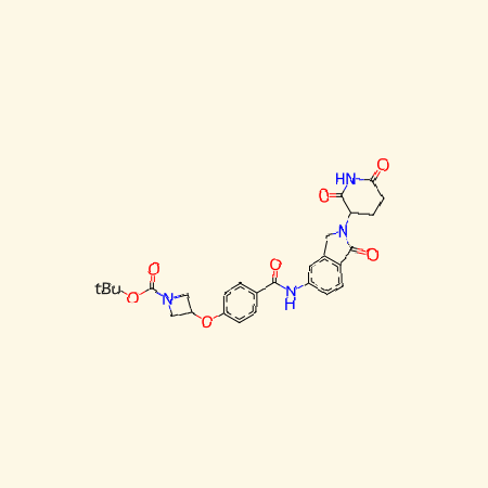 CC(C)(C)OC(=O)N1CC(Oc2ccc(C(=O)Nc3ccc4c(c3)CN(C3CCC(=O)NC3=O)C4=O)cc2)C1